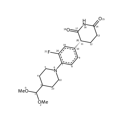 COC(OC)C1CCN(c2ccc([C@H]3CCC(=O)NC3=O)cc2F)CC1